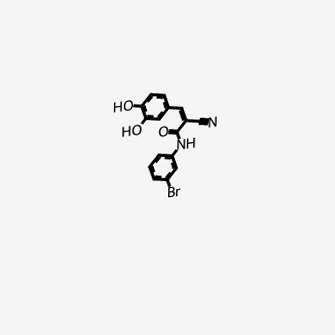 N#CC(=Cc1ccc(O)c(O)c1)C(=O)Nc1cccc(Br)c1